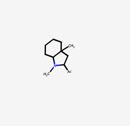 CC(=O)C1CC2(C)CCCCC2N1C